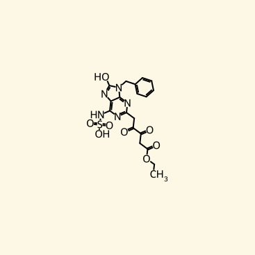 CCOC(=O)CC(=O)C(=O)Cc1nc(NS(=O)(=O)O)c2nc(O)n(Cc3ccccc3)c2n1